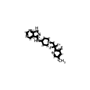 Cc1cnc(C(F)(F)CN2CCC(Nc3n[nH]c4ncncc34)CC2)c(F)c1